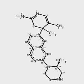 CC1=CN=C(N)CC1(C)c1ccc2cnc(N3CCNC[C@@H]3C)nc2c1